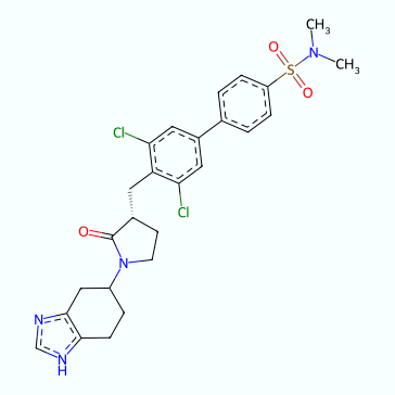 CN(C)S(=O)(=O)c1ccc(-c2cc(Cl)c(C[C@@H]3CCN(C4CCc5[nH]cnc5C4)C3=O)c(Cl)c2)cc1